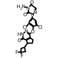 Nn1c(=O)cnn(-c2cc(Cl)c(Oc3n[nH]c(=O)c4c3CCC4C3CC(F)(F)C3)c(Cl)c2)c1=O